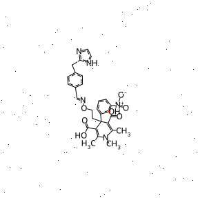 CC1=C(C(=O)O)C(CCON=Cc2ccc(Cc3ncc[nH]3)cc2)(c2cccc([N+](=O)[O-])c2)C(C(=O)O)=C(C)N1C